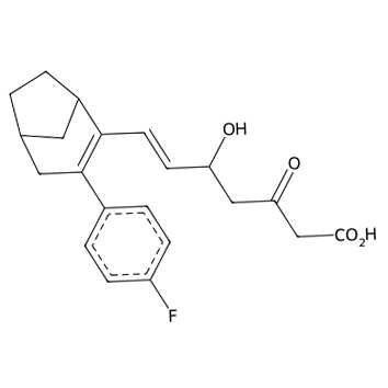 O=C(O)CC(=O)CC(O)C=CC1=C(c2ccc(F)cc2)CC2CCC1C2